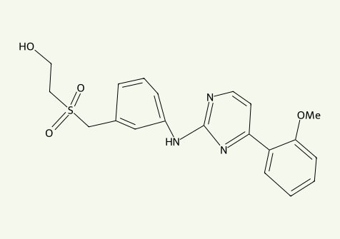 COc1ccccc1-c1ccnc(Nc2cccc(CS(=O)(=O)CCO)c2)n1